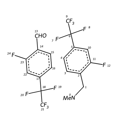 CNCc1ccc(C(F)(F)C(F)(F)F)cc1F.O=Cc1ccc(C(F)(F)C(F)(F)F)cc1F